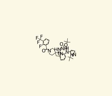 CC(C)(C)OC(=O)NNC(=O)C1(Cc2cccc(Nc3ccnn3C(C)(C)C)n2)CCN(C(=O)c2cccc(C(F)(F)F)c2F)CC1